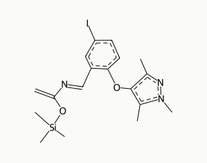 C=C(/N=C/c1cc(I)ccc1Oc1c(C)nn(C)c1C)O[Si](C)(C)C